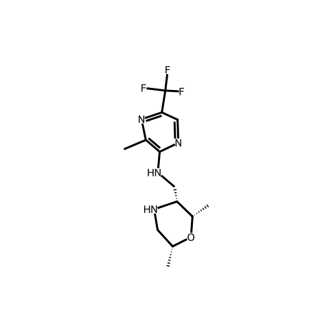 Cc1nc(C(F)(F)F)cnc1NC[C@H]1NC[C@@H](C)O[C@H]1C